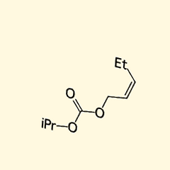 CC/C=C\COC(=O)OC(C)C